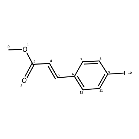 COC(=O)C=Cc1ccc(I)cc1